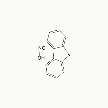 O=NO.c1ccc2c(c1)sc1ccccc12